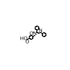 O=CN(Cc1ccc(C(=O)O)cc1)c1cc(-c2ccccc2)nc2ccccc12